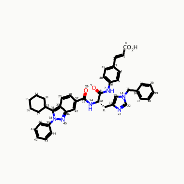 O=C(O)C=Cc1ccc(NC(=O)[C@H](Cc2cn(Cc3ccccc3)cn2)NC(=O)c2ccc3c(C4CCCCC4)n(-c4ccccc4)nc3c2)cc1